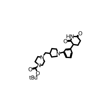 CC(C)(C)OC(=O)N1CCN(CC2CCN(c3cccc(C4CCC(=O)NC4=O)c3)CC2)CC1